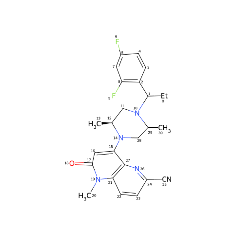 CCC(c1ccc(F)cc1F)N1C[C@H](C)N(c2cc(=O)n(C)c3ccc(C#N)nc23)CC1C